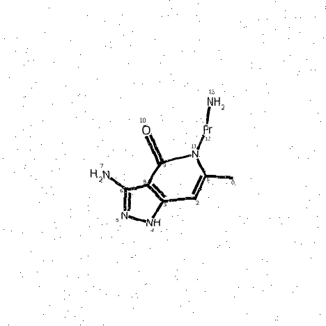 Cc1cc2[nH]nc(N)c2c(=O)[n]1[Pr][NH2]